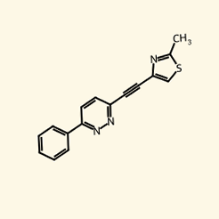 Cc1nc(C#Cc2ccc(-c3ccccc3)nn2)cs1